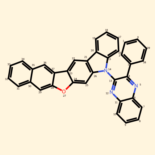 c1ccc(-c2nc3ccccc3nc2-n2c3ccccc3c3cc4c(cc32)oc2cc3ccccc3cc24)cc1